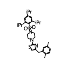 Cc1ccc(C)c(Cc2csc(N3CCN(S(=O)(=O)c4c(C(C)C)cc(C(C)C)cc4C(C)C)CC3)n2)c1